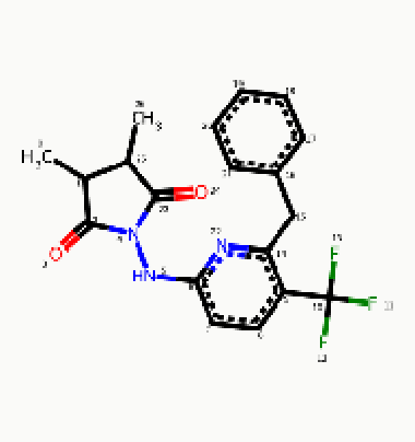 CC1C(=O)N(Nc2ccc(C(F)(F)F)c(Cc3ccccc3)n2)C(=O)C1C